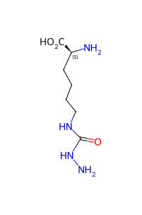 NNC(=O)NCCCC[C@H](N)C(=O)O